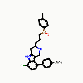 COc1ccc(-c2ccc(Cl)c3[nH]c4c(c23)CNC(CCC[S+]([O-])c2ccc(C)cc2)C4)cc1